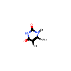 CCn1c(NC)c(N=O)c(=O)[nH]c1=O